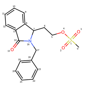 CS(=O)(=O)OCCC1c2ccccc2C(=O)N1Cc1ccccc1